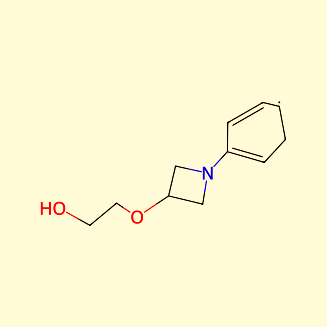 OCCOC1CN(C2=CC[CH]C=C2)C1